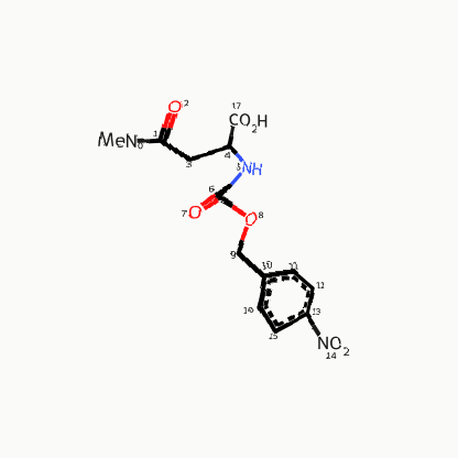 CNC(=O)CC(NC(=O)OCc1ccc([N+](=O)[O-])cc1)C(=O)O